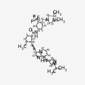 Cc1ccc(C(=O)Nc2ccc(CN3CCN(C)C(C)C3)c(C(F)(F)F)c2)cc1C#Cc1cnc2c(Nc3cnn(C(C)C)c3)cccn12